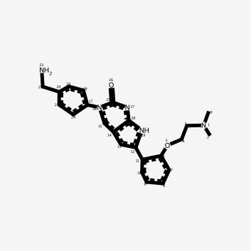 CN(C)CCOc1ccccc1-c1cc2cn(-c3ccc(CN)cc3)c(=O)nc2[nH]1